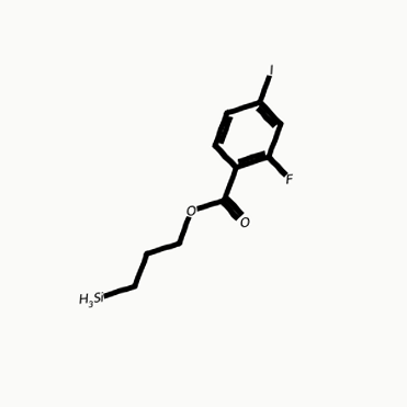 O=C(OCCC[SiH3])c1ccc(I)cc1F